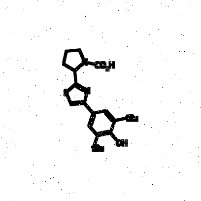 CC(C)(C)c1cc(-c2csc(C3CCCN3C(=O)O)n2)cc(C(C)(C)C)c1O